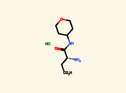 Cl.N[C@H](CC(=O)O)C(=O)NC1CCOCC1